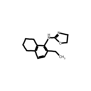 CCc1ccc2c(c1NC1=NCCO1)CCCC2